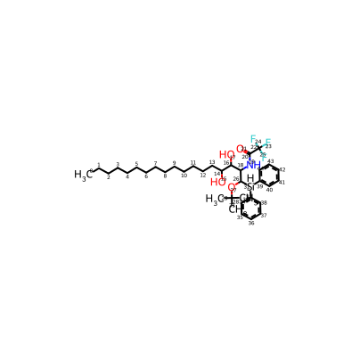 CCCCCCCCCCCCCCC(O)C(O)C(NC(=O)C(F)(F)F)C(OC(C)(C)C)[SiH](c1ccccc1)c1ccccc1